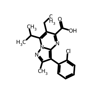 CCc1c(C(=O)O)nc2c(-c3ccccc3Cl)c(C)nn2c1C(C)C